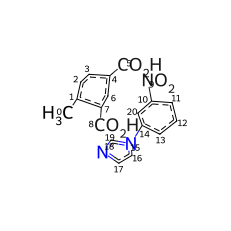 Cc1ccc(C(=O)O)cc1C(=O)O.O=[N+]([O-])c1cccc(-n2ccnc2)c1